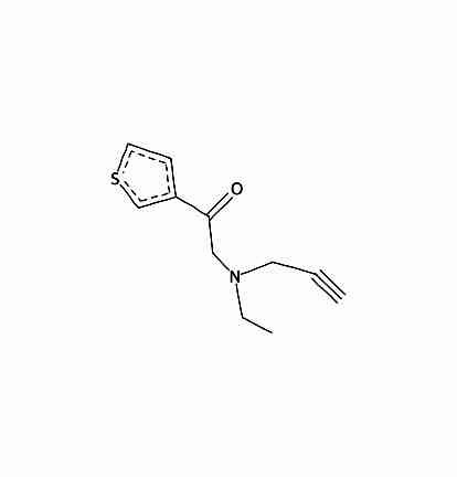 C#CCN(CC)CC(=O)c1ccsc1